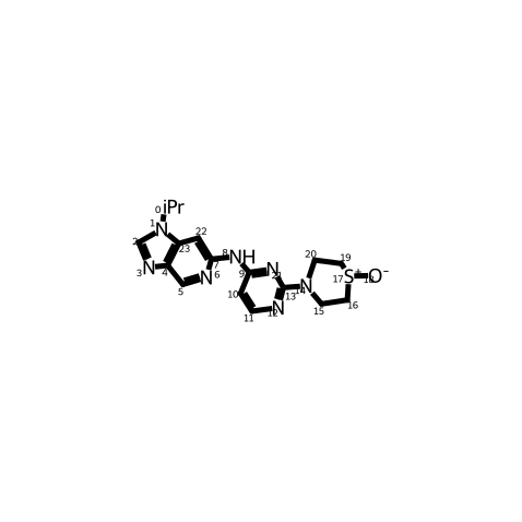 CC(C)n1cnc2cnc(Nc3ccnc(N4CC[S+]([O-])CC4)n3)cc21